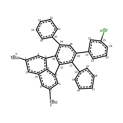 CC(C)(C)c1cc2c3c(cc(C(C)(C)C)cc3c1)-c1c(-c3ccccc3)c(-c3cccc(Br)c3)cc(-c3ccccc3)c1-2